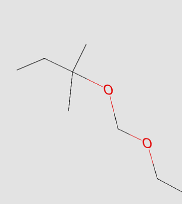 CCOCOC(C)(C)CC